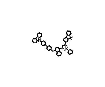 CC1(C)c2ccccc2-c2ccc(-c3cc(-c4ccc(Cc5ccc(-c6ccc(-n7c8ccccc8c8ccccc87)cc6)cc5)c5ccccc45)nc(-c4ccccc4)n3)cc21